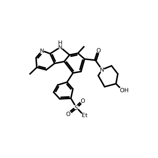 CCS(=O)(=O)c1cccc(-c2cc(C(=O)N3CCC(O)CC3)c(C)c3[nH]c4ncc(C)cc4c23)c1